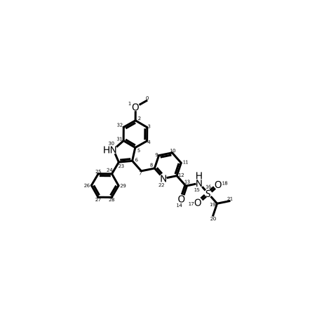 COc1ccc2c(Cc3cccc(C(=O)NS(=O)(=O)C(C)C)n3)c(-c3ccccc3)[nH]c2c1